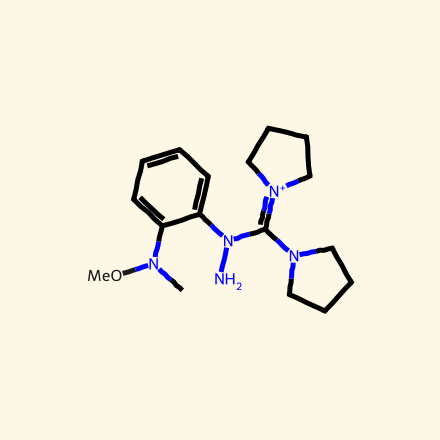 CON(C)c1ccccc1N(N)C(N1CCCC1)=[N+]1CCCC1